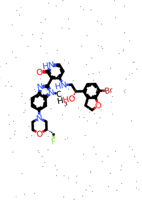 Cn1c(-c2c(NC[C@@H](O)c3ccc(Br)c4c3CCO4)cc[nH]c2=O)nc2ccc(N3CCO[C@@H](CF)C3)cc21